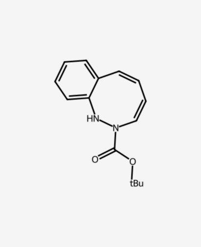 CC(C)(C)OC(=O)n1ccccc2ccccc2[nH]1